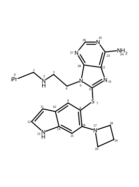 CC(C)CNCCn1c(Sc2cc3cc[nH]c3cc2N2CCC2)nc2c(N)ncnc21